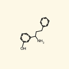 NC(CCc1ccccc1)c1cccc(O)c1